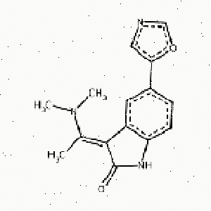 CC(=C1C(=O)Nc2ccc(-c3cnco3)cc21)N(C)C